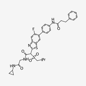 CC(C)CS(=O)(=O)C(C(=O)NCC(=O)NC1CC1)c1nc2cc(F)c(-c3ccc(NC(=O)CCc4ccccc4)cc3)cc2s1